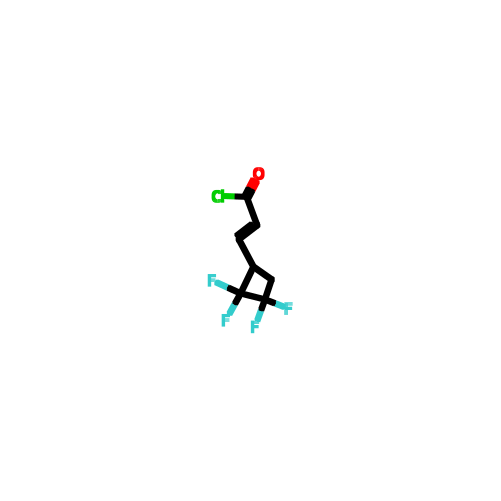 O=C(Cl)/C=C/C1CC(F)(F)C1(F)F